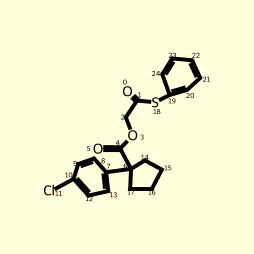 O=C(COC(=O)C1(c2ccc(Cl)cc2)CCCC1)Sc1ccccc1